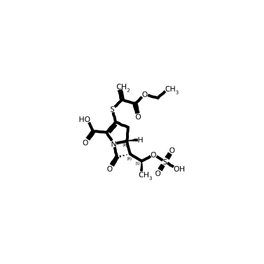 C=C(SC1=C(C(=O)O)N2C(=O)[C@@H]([C@H](C)OS(=O)(=O)O)[C@H]2C1)C(=O)OCC